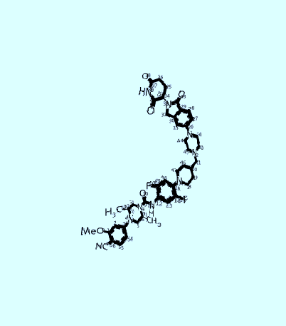 COc1cc(N2C[C@@H](C)N(C(=O)Nc3cc(F)c(N4CCC(CN5CCN(c6ccc7c(c6)CN([C@H]6CCC(=O)NC6=O)C7=O)CC5)CC4)cc3F)C[C@@H]2C)ccc1C#N